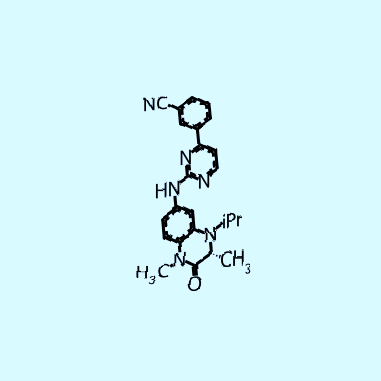 CC(C)N1c2cc(Nc3nccc(-c4cccc(C#N)c4)n3)ccc2N(C)C(=O)[C@H]1C